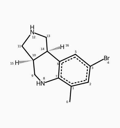 Cc1cc(Br)cc2c1NC[C@H]1CNC[C@@H]21